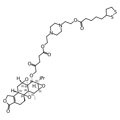 CC(C)[C@]12O[C@H]1[C@H](C)[C@@]13O[C@@]14CCC1=C(COC1=O)[C@@H]4C[C@@H]1O[C@@]13[C@@H]2OCC(=O)CCC(=O)OCCN1CCN(CCOC(=O)CCCCC2CCSS2)CC1